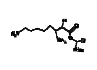 CCCCCCC(CC)OC(=O)C(CC)C(N)CCCCCN